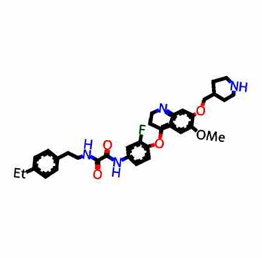 CCc1ccc(CCNC(=O)C(=O)Nc2ccc(OC3=c4cc(OC)c(OCC5CCNCC5)cc4=NCC3)c(F)c2)cc1